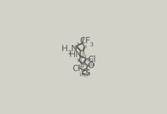 Nc1cc(C(F)(F)F)ccc1Nc1ccc(C(=O)c2sccc2Cl)c(Cl)c1